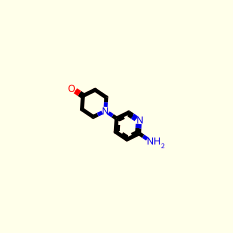 Nc1ccc(N2CCC(=O)CC2)cn1